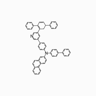 C1=CC(c2ccccc2)CC(c2cncc(-c3ccc(N(c4ccc(-c5ccccc5)cc4)c4ccc5c(ccc6ccccc65)c4)cc3)c2)=C1c1ccccc1